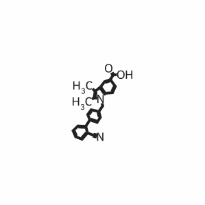 Cc1c(C)n(Cc2ccc(-c3ccccc3C#N)cc2)c2ccc(C(=O)O)cc12